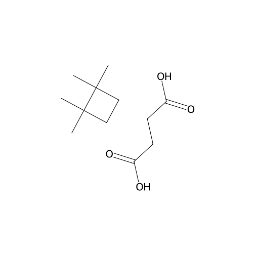 CC1(C)CCC1(C)C.O=C(O)CCC(=O)O